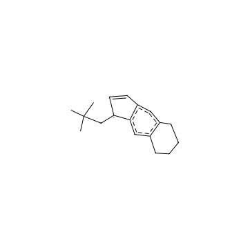 CC(C)(C)C[C]1C=Cc2cc3c(cc21)CCCC3